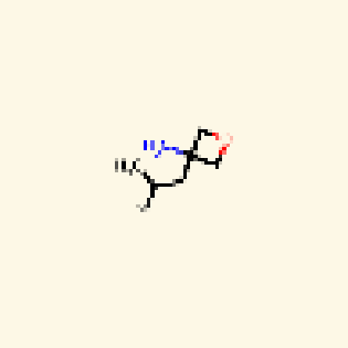 CC(C)C(C)CC1(N)COC1